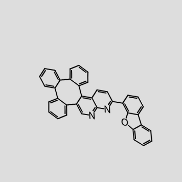 c1ccc2c(c1)-c1ccccc1-c1cnc3nc(-c4cccc5c4oc4ccccc45)ccc3c1-c1ccccc1-2